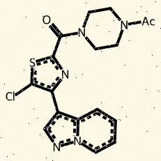 CC(=O)N1CCN(C(=O)c2nc(-c3cnn4ccccc34)c(Cl)s2)CC1